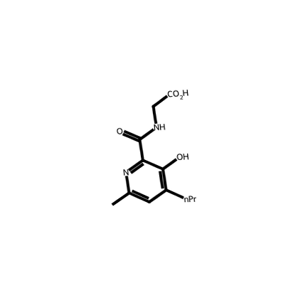 CCCc1cc(C)nc(C(=O)NCC(=O)O)c1O